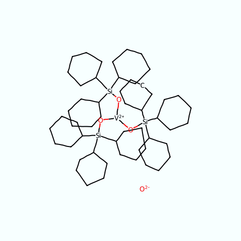 C1CCC([Si]([O][V+2]([O][Si](C2CCCCC2)(C2CCCCC2)C2CCCCC2)[O][Si](C2CCCCC2)(C2CCCCC2)C2CCCCC2)(C2CCCCC2)C2CCCCC2)CC1.[O-2]